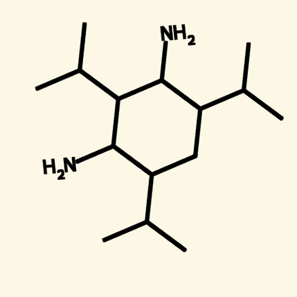 CC(C)C1CC(C(C)C)C(N)C(C(C)C)C1N